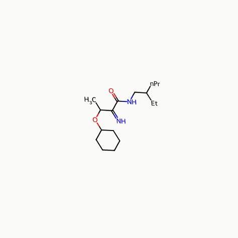 CCCC(CC)CNC(=O)C(=N)C(C)OC1CCCCC1